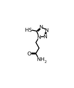 NC(=O)CCn1nnnc1S